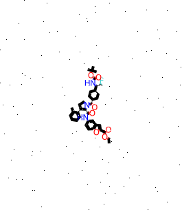 CCOC(=O)c1cc2cc(NC(=O)[C@@H]3[C@H](c4ccccc4C)CCN3C(=O)[C@H]3CC[C@H]([C@@H](CF)NC(=O)OC(C)(C)C)CC3)ccc2o1